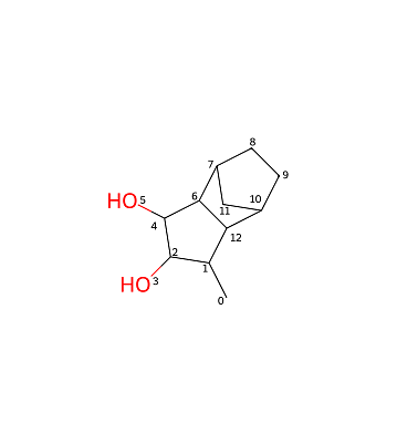 CC1C(O)C(O)C2C3CCC(C3)C12